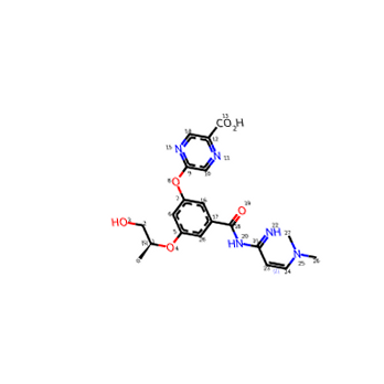 C[C@@H](CO)Oc1cc(Oc2cnc(C(=O)O)cn2)cc(C(=O)NC(=N)/C=C\N(C)C)c1